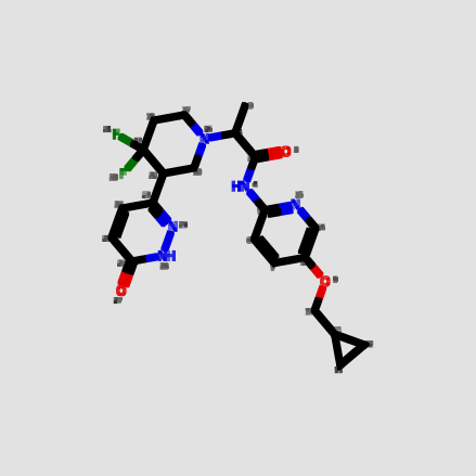 CC(C(=O)Nc1ccc(OCC2CC2)cn1)N1CCC(F)(F)C(c2ccc(=O)[nH]n2)C1